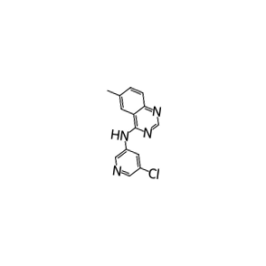 Cc1ccc2ncnc(Nc3cncc(Cl)c3)c2c1